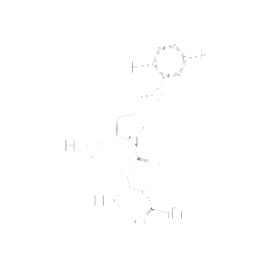 CC(C)C(=O)O[C@H](C)OC(=O)N1C[C@@H](COc2cc(F)ccc2F)C[C@H]1C(=O)O